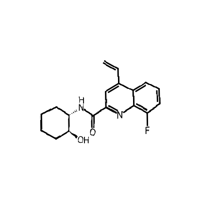 C=Cc1cc(C(=O)N[C@H]2CCCC[C@@H]2O)nc2c(F)cccc12